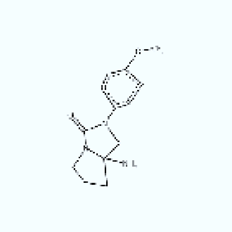 NC12CCCN1C(=O)N(c1ccc(OC(F)(F)F)cc1)C2